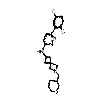 Fc1ccc(Cl)c(-c2ccc(NC3CC4(C3)CN(CC3CCCOC3)C4)nn2)c1